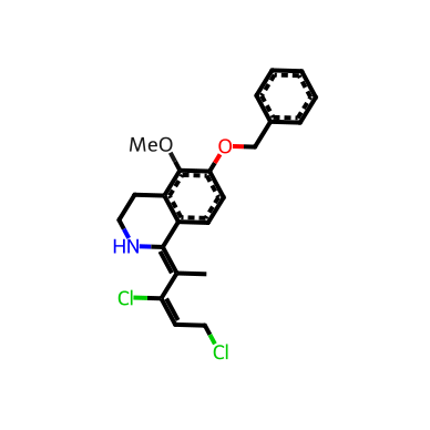 COc1c(OCc2ccccc2)ccc2c1CCN/C2=C(C)\C(Cl)=C/CCl